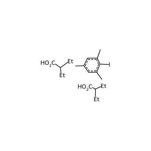 CCC(CC)C(=O)O.CCC(CC)C(=O)O.Cc1cc(C)c(I)c(C)c1